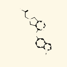 Cn1ccc2cc(Oc3ncnc4c3CN(CC(N)=O)C4)ccc21